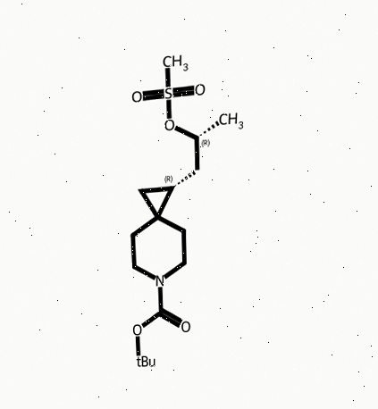 C[C@H](C[C@H]1CC12CCN(C(=O)OC(C)(C)C)CC2)OS(C)(=O)=O